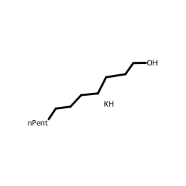 CCCCCCCCCCCCO.[KH]